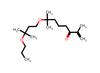 C=C(C)C(=O)CCCC(C)(C)OCCC(C)(C)OCCC